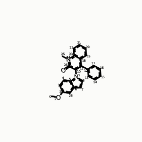 COc1ccc2c(ccn2-c2c(-c3ccccc3)c3ccccc3n(C)c2=O)c1